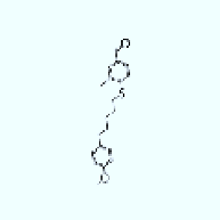 COc1ccc(CCCCCSc2ccc(C=O)cc2C)cc1